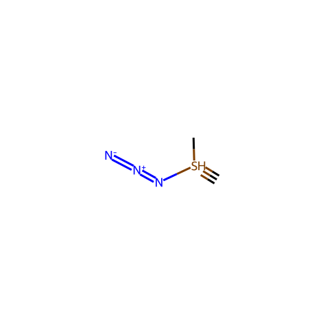 C#[SH](C)N=[N+]=[N-]